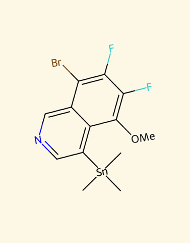 COc1c(F)c(F)c(Br)c2cnc[c]([Sn]([CH3])([CH3])[CH3])c12